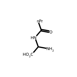 CCCC(=O)NC(N)C(=O)O